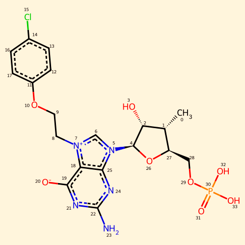 C[C@H]1[C@@H](O)[C@H](n2c[n+](CCOc3ccc(Cl)cc3)c3c([O-])nc(N)nc32)O[C@@H]1COP(=O)(O)O